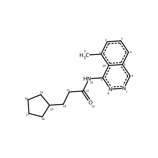 Cc1cccc2cnnc(NC(=O)CCC3CCCC3)c12